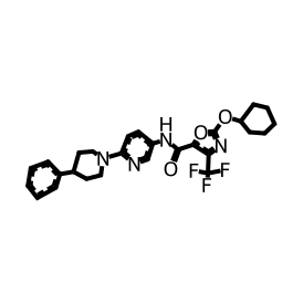 O=C(Nc1ccc(N2CCC(c3ccccc3)CC2)nc1)c1oc(OC2CCCCC2)nc1C(F)(F)F